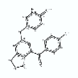 O=C(c1ccc(Cl)cc1)c1cc(Cc2ccc(=O)[nH]n2)cc2c1OCC2